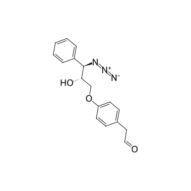 [N-]=[N+]=N[C@H](c1ccccc1)[C@@H](O)COc1ccc(CC=O)cc1